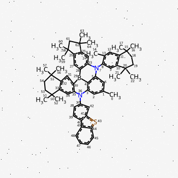 Cc1cc2c3c(c1)N(c1cc4c(cc1C)C(C)(C)CCC4(C)C)c1cc4c(cc1B3c1cc3c(cc1N2c1ccc2c(c1)sc1ccccc12)C(C)(C)CCC3(C)C)C(C)(C)CC4(C)C